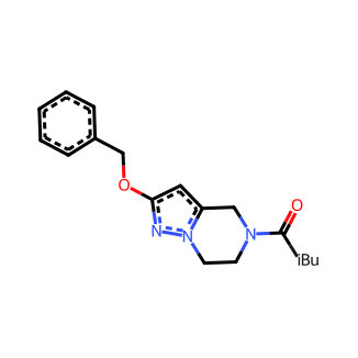 CCC(C)C(=O)N1CCn2nc(OCc3ccccc3)cc2C1